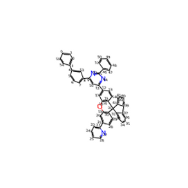 c1ccc(-c2cccc(-c3cc(-c4ccc5c(c4)Oc4cc(-c6ccccn6)ccc4C54c5ccccc5-c5ccccc54)nc(-c4ccccc4)n3)c2)cc1